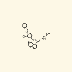 COCCNCCOc1cccc2ncnc(Nc3ccc(OCc4ccccn4)c(Cl)c3)c12